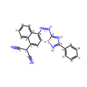 N#CC(C#N)c1ccc(/N=N\c2nc(-c3ccccc3)ns2)c2ccccc12